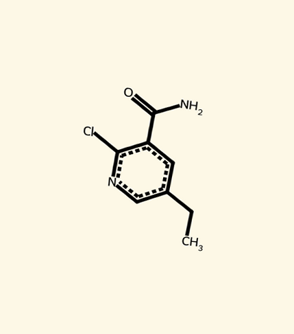 CCc1cnc(Cl)c(C(N)=O)c1